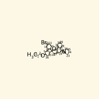 CCCOc1ccc(C2(c3ccc(Br)cc3)C=Cc3cc(N4CCCCC4)c4ccccc4c3O2)cc1